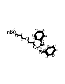 CCCCOCCOCCOP(Oc1ccccc1)Oc1ccccc1